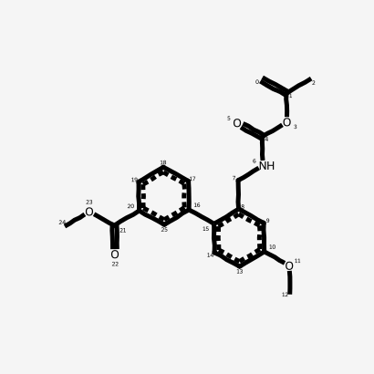 C=C(C)OC(=O)NCc1cc(OC)ccc1-c1cccc(C(=O)OC)c1